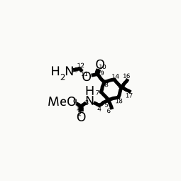 COC(=O)NCC1(C)CC(C(=O)OCN)CC(C)(C)C1